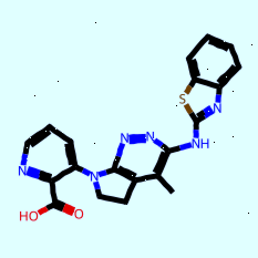 Cc1c(Nc2nc3ccccc3s2)nnc2c1CCN2c1cccnc1C(=O)O